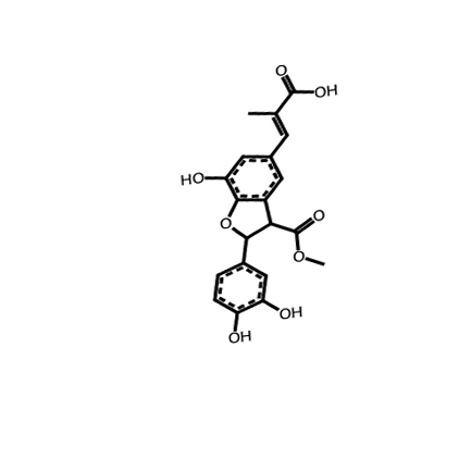 COC(=O)C1c2cc(/C=C(\C)C(=O)O)cc(O)c2OC1c1ccc(O)c(O)c1